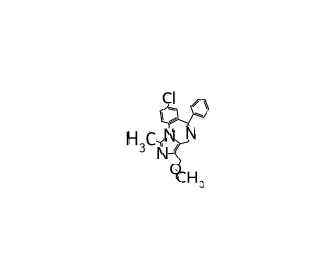 COCc1nc(C)n2c1CN=C(c1ccccc1)c1cc(Cl)ccc1-2